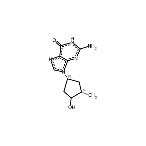 C[C@H]1C[C@@H](n2cnc3c(=O)[nH]c(N)nc32)CC1O